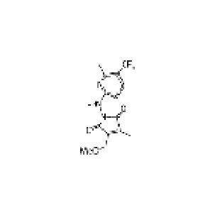 COCC1=C(C)C(=O)N(N(C)c2ccc(C(F)(F)F)c(C)n2)C1=O